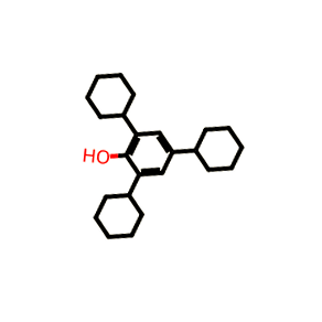 Oc1c(C2CCCCC2)cc(C2CCCCC2)cc1C1CCCCC1